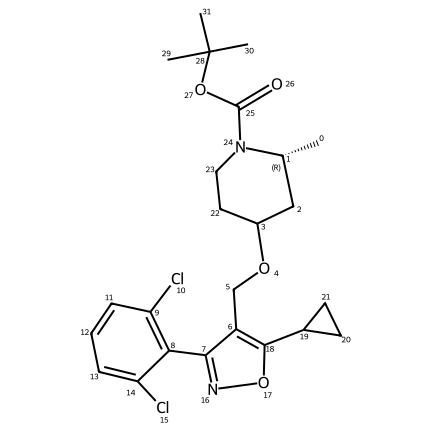 C[C@@H]1CC(OCc2c(-c3c(Cl)cccc3Cl)noc2C2CC2)CCN1C(=O)OC(C)(C)C